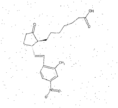 Cc1cc([N+](=O)[O-])ccc1C=C[C@@H]1CCC(=O)[C@H]1CCCCCCC(=O)O